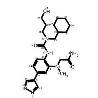 CN(CC(N)=O)c1cc(-c2cn[nH]c2)ccc1NC(=O)N(CCCO)CC1CCCCC1